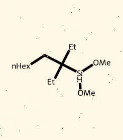 CCCCCCCC(CC)(CC)[SiH](OC)OC